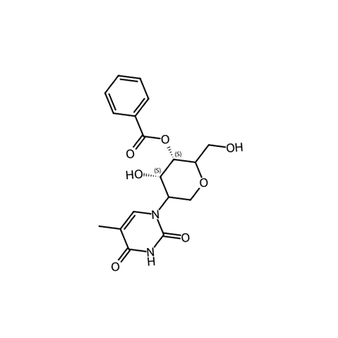 Cc1cn(C2COC(CO)[C@@H](OC(=O)c3ccccc3)[C@H]2O)c(=O)[nH]c1=O